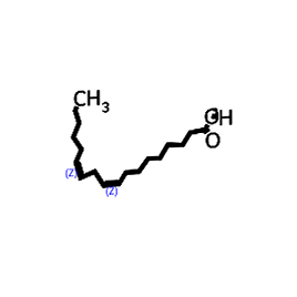 [2H]OC(=O)CCCCCCC/C=C\C/C=C\CCCCC